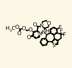 COC(=O)OCOc1c2n(ccc1=O)N([C@@H]1c3ccccc3-c3scc4c3-c3c1ccc(F)c3C(F)(F)C4)[C@@H]1COCCN1C2=O